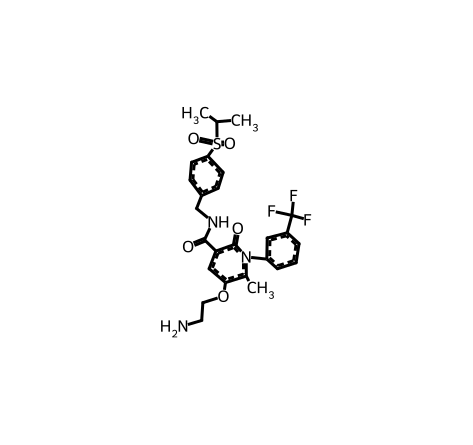 Cc1c(OCCN)cc(C(=O)NCc2ccc(S(=O)(=O)C(C)C)cc2)c(=O)n1-c1cccc(C(F)(F)F)c1